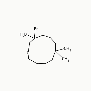 BC1(Br)CCCCCCC(C)(C)CCC1